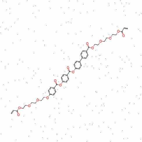 C=CC(=O)OCCOCCOCCOC(=O)c1ccc(-c2ccc(OC(=O)c3ccc(OC(=O)c4ccc(OCCOCCOCCOC(=O)C=C)cc4)cc3)cc2)cc1